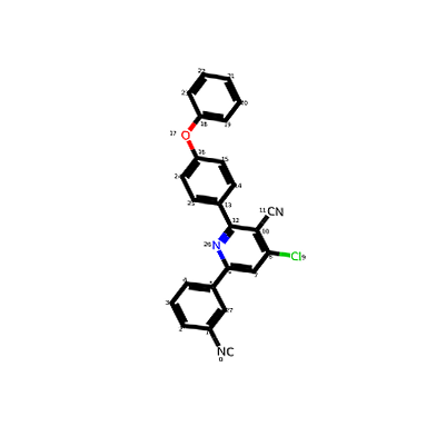 [C-]#[N+]c1cccc(-c2cc(Cl)c(C#N)c(-c3ccc(Oc4ccccc4)cc3)n2)c1